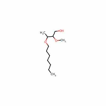 CCCCCCCOC(C)C(CO)OC